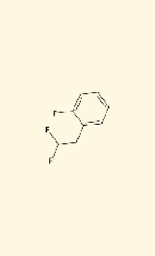 Fc1ccccc1CC(F)F